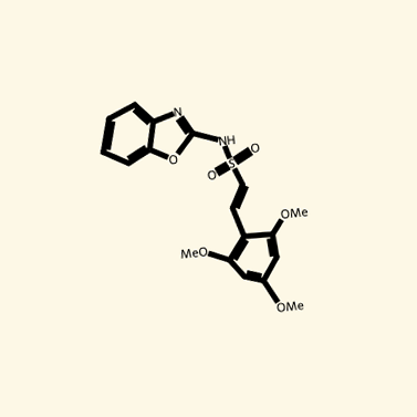 COc1cc(OC)c(C=CS(=O)(=O)Nc2nc3ccccc3o2)c(OC)c1